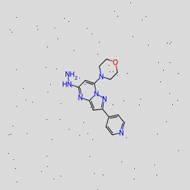 NNc1cc(N2CCOCC2)n2nc(-c3ccncc3)cc2n1